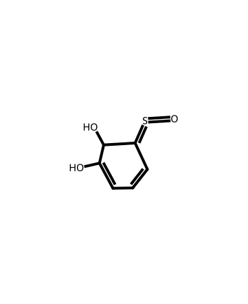 O=S=C1C=CC=C(O)C1O